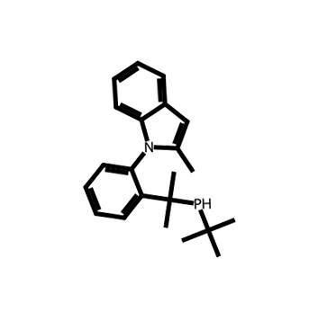 Cc1cc2ccccc2n1-c1ccccc1C(C)(C)PC(C)(C)C